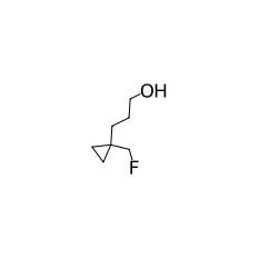 OCCCC1(CF)CC1